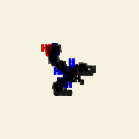 COC(=O)[C@H](Cc1ccc(C#N)cc1)Nc1nc(Nc2cccc(CN3CCN(C(=O)c4nccnc4O)CC3)c2)nc(N(C)CCc2nc3ccc(OC)cc3[nH]2)n1